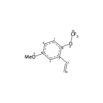 C=[C]c1cc(OC)ccc1OC(F)(F)F